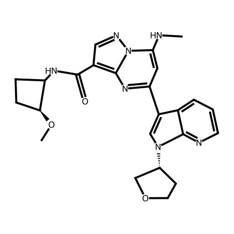 CNc1cc(-c2cn([C@@H]3CCOC3)c3ncccc23)nc2c(C(=O)NC3CC[C@@H]3OC)cnn12